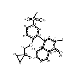 Cn1cc(-c2cc(S(C)(=O)=O)ccc2OCC2(C)CC2)c2ccccc2c1=O